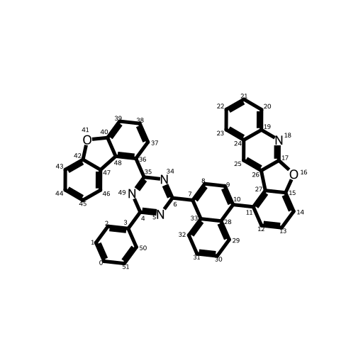 c1ccc(-c2nc(-c3ccc(-c4cccc5oc6nc7ccccc7cc6c45)c4ccccc34)nc(-c3cccc4oc5ccccc5c34)n2)cc1